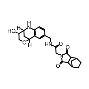 O=C(CN1C(=O)C2C3CCC(C3)C2C1=O)NCc1ccc2c(c1)[C@H]1C[C@@H](N2)[C@H](O)CO1